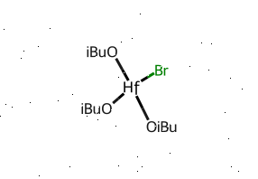 CC(C)C[O][Hf]([Br])([O]CC(C)C)[O]CC(C)C